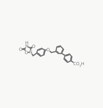 O=C(O)c1ccc(-c2cccc(COc3ccc(Cn4oc(=O)[nH]c4=O)cc3)c2)cc1